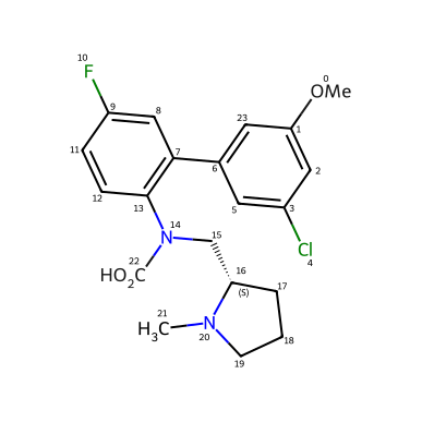 COc1cc(Cl)cc(-c2cc(F)ccc2N(C[C@@H]2CCCN2C)C(=O)O)c1